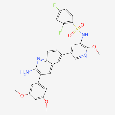 COc1cc(OC)cc(-c2cc3cc(-c4cnc(OC)c(NS(=O)(=O)c5ccc(F)cc5F)c4)ccc3nc2N)c1